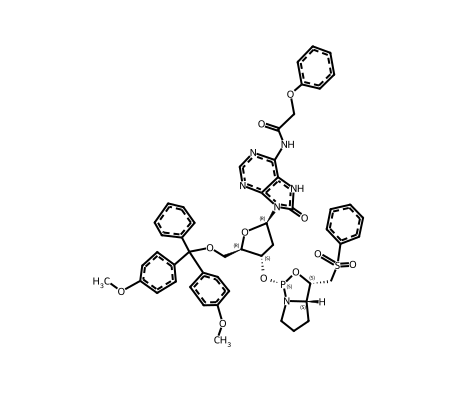 COc1ccc(C(OC[C@H]2O[C@@H](n3c(=O)[nH]c4c(NC(=O)COc5ccccc5)ncnc43)C[C@@H]2O[P@]2O[C@H](CS(=O)(=O)c3ccccc3)[C@@H]3CCCN32)(c2ccccc2)c2ccc(OC)cc2)cc1